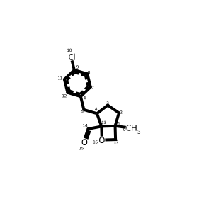 CC12CCC(Cc3ccc(Cl)cc3)C1(C=O)OC2